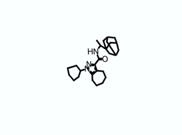 CC(NC(=O)c1nn(C2CCCCC2)c2c1CCCCC2)C12CC3CC(CC(C3)C1)C2